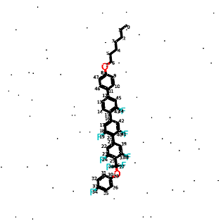 CCCCCCCOc1ccc(-c2ccc(-c3cc(F)c(-c4cc(F)c(C(F)(F)Oc5ccc(F)cc5)c(F)c4)c(F)c3)c(F)c2)cc1